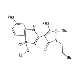 CCOP1(=O)N=C(C2=C(O)[C@H](C(C)(C)C)N(CCC(C)(C)C)C2=O)Nc2cc(O)ccc21